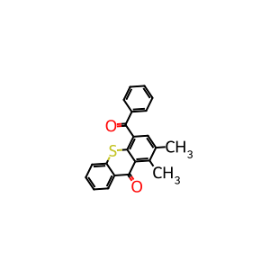 Cc1cc(C(=O)c2ccccc2)c2sc3ccccc3c(=O)c2c1C